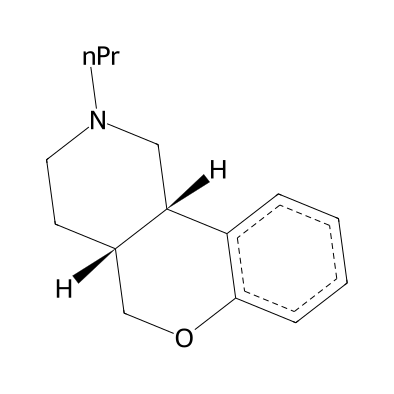 CCCN1CC[C@H]2COc3ccccc3[C@H]2C1